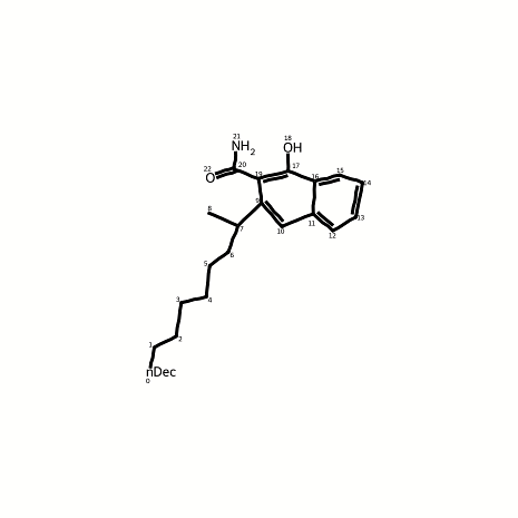 CCCCCCCCCCCCCCCCC(C)c1cc2ccccc2c(O)c1C(N)=O